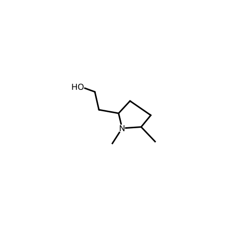 CC1CCC(CCO)N1C